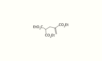 C=C(CC(C(=O)OCC)C(=O)OCC)C(=O)OCC